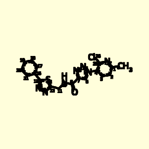 Cc1ccc(-n2cc(C(=O)NCc3nnc(-c4ccccc4)s3)nn2)c(Cl)n1